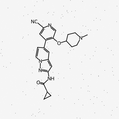 CN1CCC(Oc2cnc(C#N)cc2-c2ccn3nc(NC(=O)C4CC4)cc3c2)CC1